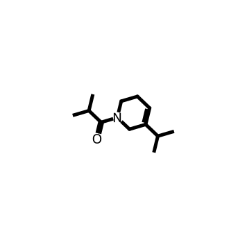 CC(C)C(=O)N1CCC=C(C(C)C)C1